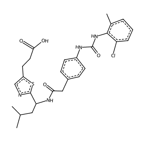 Cc1cccc(Cl)c1NC(=O)Nc1ccc(CC(=O)NC(CC(C)C)c2ncc(CCC(=O)O)s2)cc1